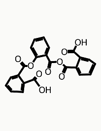 O=C(OC(=O)c1ccccc1C(=O)O)c1ccccc1OC(=O)c1ccccc1C(=O)O